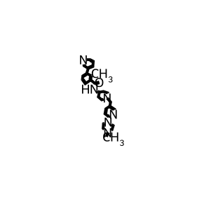 Cc1c(C(=O)NC2CCN(Cc3ccc(N4CCN(C)CC4)nc3)CC2)cccc1-c1cccnc1